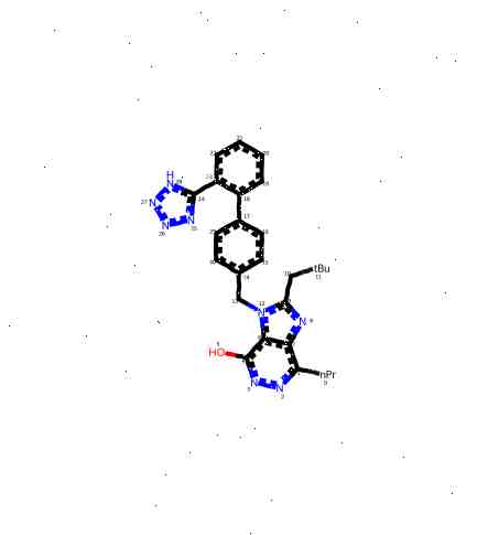 CCCc1nnc(O)c2c1nc(CC(C)(C)C)n2Cc1ccc(-c2ccccc2-c2nnn[nH]2)cc1